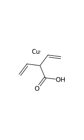 C=CC(C=C)C(=O)O.[Cu]